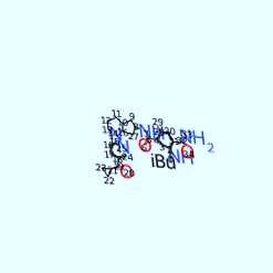 CC[C@@H](C)Nc1cc(C(=O)NC2CC3CCCN(c4ccc(C(=O)C5CC5)cn4)C3C2)c(C)cc1C(N)=O